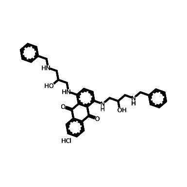 Cl.O=C1c2ccccc2C(=O)c2c(NCC(O)CNCc3ccccc3)ccc(NCC(O)CNCc3ccccc3)c21